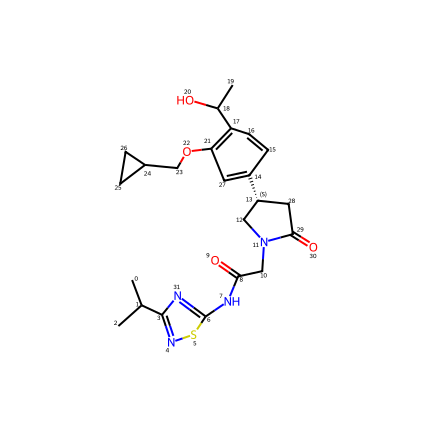 CC(C)c1nsc(NC(=O)CN2C[C@H](c3ccc(C(C)O)c(OCC4CC4)c3)CC2=O)n1